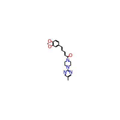 Cc1cnc(N2CCN(C(=O)C=CC=Cc3ccc4c(c3)OCO4)CC2)nc1